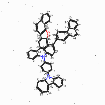 c1ccc(N(c2ccc(-c3ccc4c(ccc5ccccc54)c3)cc2)c2ccc(-n3c4ccccc4c4ccccc43)cc2)c(-c2ccc3oc4c5ccccc5ccc4c3c2)c1